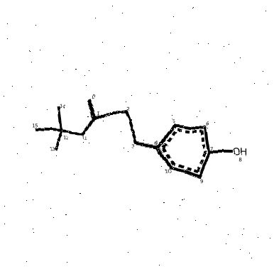 CC(CCc1ccc(O)cc1)CC(C)(C)C